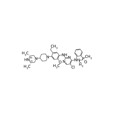 CCc1cc(Nc2ncc(Cl)c(Nc3ccccc3P(C)(C)=O)n2)c(OC)cc1N1CCC(N2C[C@@H](C)N[C@@H](C)C2)CC1